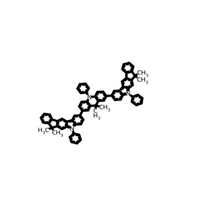 CC1(C)c2ccccc2-c2cc3c4cc(-c5ccc6c(c5)C(C)(C)c5cc(-c7ccc8c(c7)c7cc9c(cc7n8-c7ccccc7)C(C)(C)c7ccccc7-9)ccc5N6c5ccccc5)ccc4n(-c4ccccc4)c3cc21